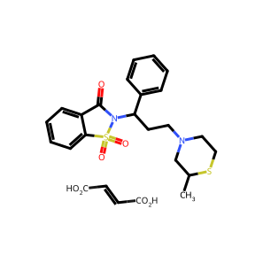 CC1CN(CCC(c2ccccc2)N2C(=O)c3ccccc3S2(=O)=O)CCS1.O=C(O)C=CC(=O)O